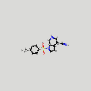 Cc1ccc(S(=O)(=O)n2ccc3c(C#N)cncc32)cc1